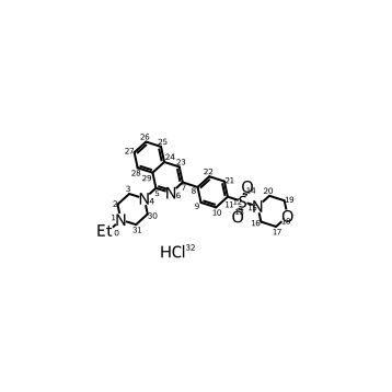 CCN1CCN(c2nc(-c3ccc(S(=O)(=O)N4CCOCC4)cc3)cc3ccccc23)CC1.Cl